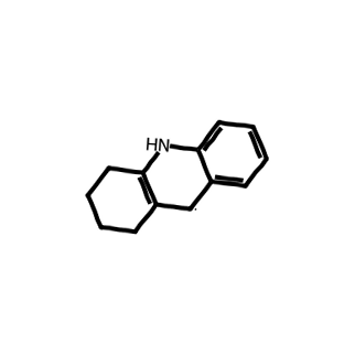 [CH]1C2=C(CCCC2)Nc2ccccc21